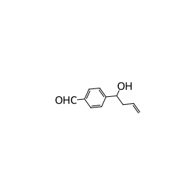 C=CCC(O)c1ccc(C=O)cc1